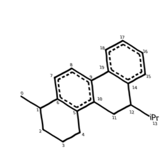 CC1CCCc2c1ccc1c2CC(C(C)C)c2ccccc2-1